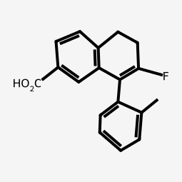 Cc1ccccc1C1=C(F)CCc2ccc(C(=O)O)cc21